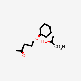 CC(O)C(=O)O.CCCC(C)=O.O=C1CCCCC1